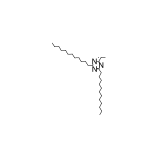 C[CH]c1nc(CCCCCCCCCCCC)nc(CCCCCCCCCCCC)n1